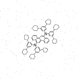 c1ccc2c(c1)c(N(c1cc(C3CCCCC3)cc(C3CCCCC3)c1)c1cc(C3CCCCC3)cc(C3CCCCC3)c1)cc1c3ccccc3c(N(c3cc(C4CCCCC4)cc(C4CCCCC4)c3)c3cc(C4CCCCC4)cc(C4CCCCC4)c3)cc21